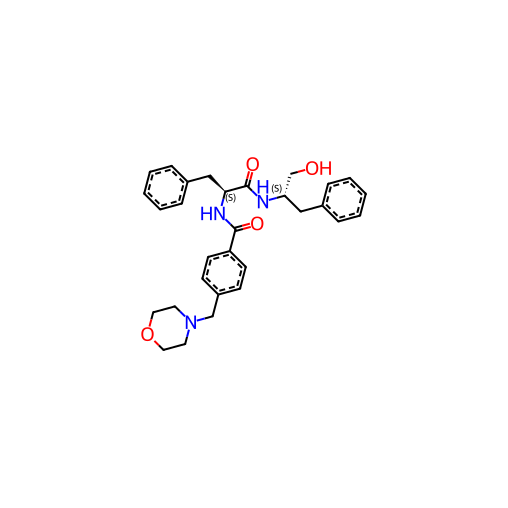 O=C(N[C@@H](Cc1ccccc1)C(=O)N[C@H](CO)Cc1ccccc1)c1ccc(CN2CCOCC2)cc1